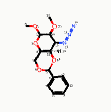 COC1OC2COC(c3ccccc3)O[C@@H]2C(N=[N+]=[N-])C1OC